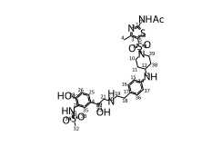 CC(=O)Nc1nc(C)c(S(=O)(=O)N2CCC(Nc3ccc(CCNC[C@H](O)c4ccc(O)c(NS(C)(=O)=O)c4)cc3)CC2)s1